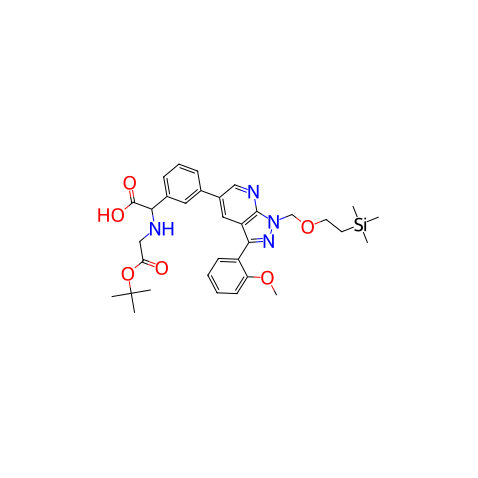 COc1ccccc1-c1nn(COCC[Si](C)(C)C)c2ncc(-c3cccc(C(NCC(=O)OC(C)(C)C)C(=O)O)c3)cc12